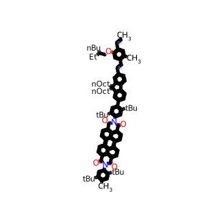 C/C=C/c1cc(C)c(/C=C/c2ccc3c(c2)C(CCCCCCCC)(CCCCCCCC)c2cc(-c4cc(C(C)(C)C)c(N5C(=O)c6ccc7c8ccc9c%10c(ccc(c%11ccc(c6c7%11)C5=O)c%108)C(=O)N(c5cc(C(C)(C)C)c(C)cc5C(C)(C)C)C9=O)cc4C(C)(C)C)ccc2-3)cc1OCC(CC)CCCC